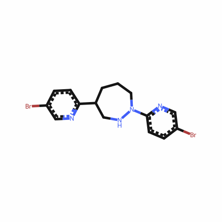 Brc1ccc(C2CCCN(c3ccc(Br)cn3)NC2)nc1